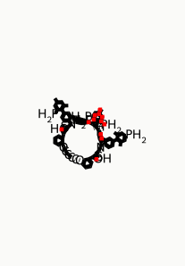 Cc1cc(C)c(-c2ccc3c(c2)c2cc4ccc2n3-c2scc(c2O)-c2ccccc2OCCCCOc2ccccc2-c2csc(c2O)-n2c3ccc(-c5c(C)cc(P)cc5C)cc3c3cc(ccc32)[C@H](c2c(P)cc(C)cc2P)C4c2c(C)cc(C)cc2P)c(P)c1